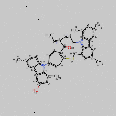 C/C=C(\C=C/Cn1c2c(C)cc(C)cc2c2cc(C)cc(C)c21)C(=O)C1=C(S)CC=C(n2c3ccc(C)cc3c3cc(O)cc(C)c32)C=C1